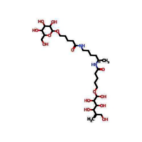 C=C(CO)C(O)C(O)C(O)C(O)OCCCCC(=O)N[C@H](C)CCCCNC(=O)CCCCOC1OC(CO)C(O)C(O)C1O